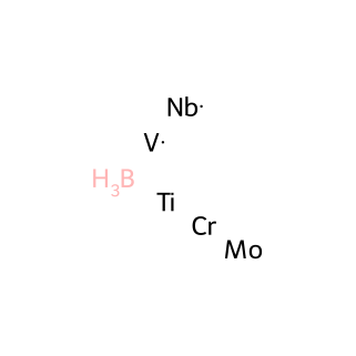 B.[Cr].[Mo].[Nb].[Ti].[V]